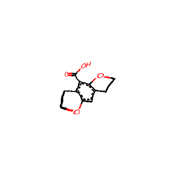 O=C(O)c1c2c(cc3c1OCC3)OCC2